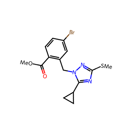 COC(=O)c1ccc(Br)cc1Cn1nc(SC)nc1C1CC1